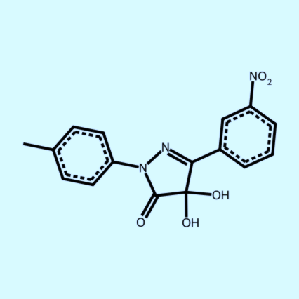 Cc1ccc(N2N=C(c3cccc([N+](=O)[O-])c3)C(O)(O)C2=O)cc1